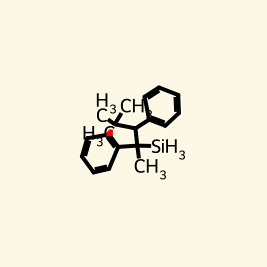 CC(C)(C)C(c1ccccc1)C(C)([SiH3])c1ccccc1